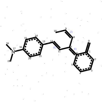 C=c1cccc/c1=C(/C=C\C)\C=C\c1ccc(N(C)C)cc1